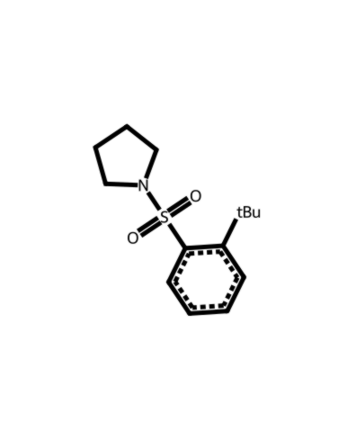 CC(C)(C)c1ccccc1S(=O)(=O)N1CCCC1